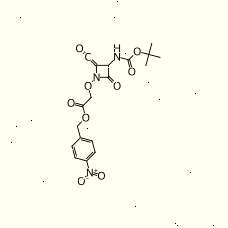 CC(C)(C)OC(=O)NC1C(=O)N(OCC(=O)OCc2ccc([N+](=O)[O-])cc2)C1=C=O